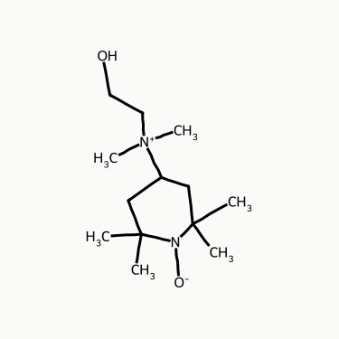 CC1(C)CC([N+](C)(C)CCO)CC(C)(C)N1[O-]